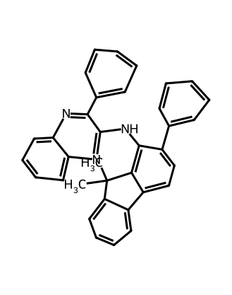 CC1(C)c2ccccc2-c2ccc(-c3ccccc3)c(Nc3nc4ccccc4nc3-c3ccccc3)c21